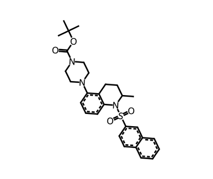 CC1CCc2c(N3CCN(C(=O)OC(C)(C)C)CC3)cccc2N1S(=O)(=O)c1ccc2ccccc2c1